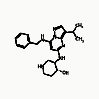 CC(C)c1cnn2c(NCc3ccccc3)cc(NC3CNCC[C@H]3O)nc12